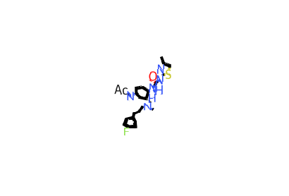 CC(=O)N(C)[C@H]1CC[C@@H](NC(=O)NC2=NC(C)CS2)[C@H](CN(C)CCCc2ccc(F)cc2)C1